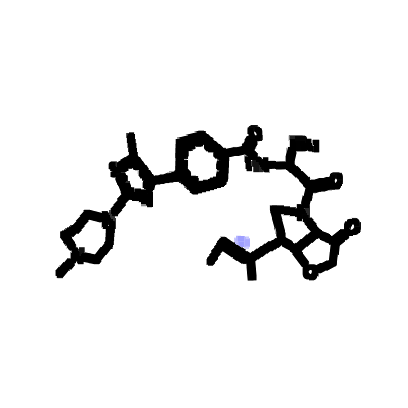 C/C=C(\C)C1CN(C(=O)C(NC(=O)c2ccc(-c3nc(N4CCN(C)CC4)sc3C)cc2)C(C)CC)C2C(=O)COC12